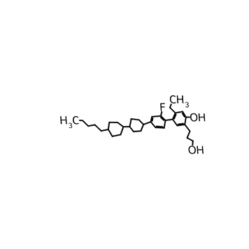 CCCCCC1CCC(C2CCC(c3ccc(-c4cc(CCCO)c(O)cc4CC)c(F)c3)CC2)CC1